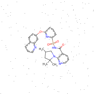 CC1CN(c2ncccc2C(=O)NS(=O)(=O)c2cccc(Oc3ccc4cccnc4c3)n2)C(C)(C)C1